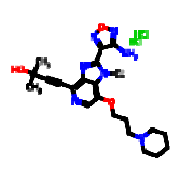 CCn1c(-c2nonc2N)nc2c(C#CC(C)(C)O)ncc(OCCCN3CCCCC3)c21.Cl.Cl